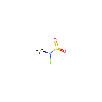 CN(F)[SH](=O)=O